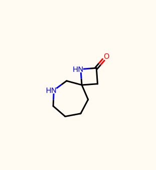 O=C1CC2(CCCCNC2)N1